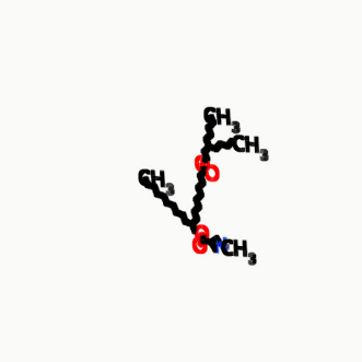 CCCCCCCCCCC(CCCCCCCCC(=O)OCCC(CCCCC)CCCCC)COC(=O)C1CN(C)C1